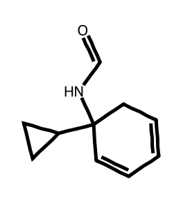 O=CNC1(C2CC2)C=CC=CC1